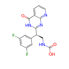 O=C(O)NC[C@@H](c1cc(F)cc(F)c1)c1nc2ncccc2c(=O)[nH]1